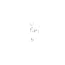 O=C(NCC1(CC2CC2)CCC(S(=O)(=O)CC2CC2)CC1)c1c(Cl)cccc1Cl